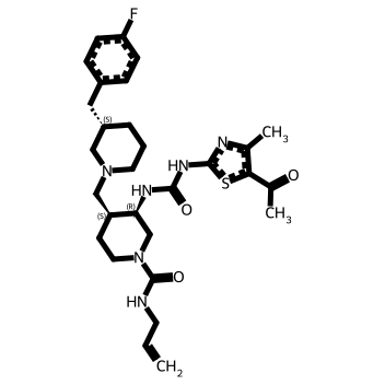 C=CCNC(=O)N1CC[C@@H](CN2CCC[C@@H](Cc3ccc(F)cc3)C2)[C@@H](NC(=O)Nc2nc(C)c(C(C)=O)s2)C1